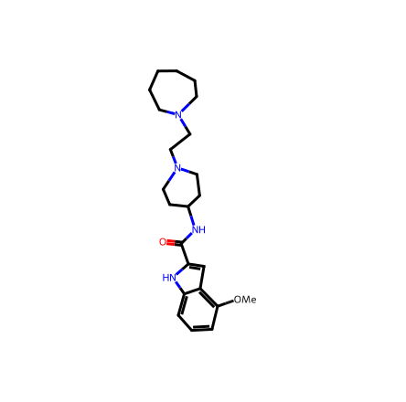 COc1cccc2[nH]c(C(=O)NC3CCN(CCN4CCCCCC4)CC3)cc12